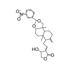 C=C1CCC2C3(C)COC(c4cccc([N+](=O)[O-])c4)OC3CCC2(C)C1C/C=C1/C(=O)OCC1O